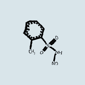 Cc1ccccc1S(=O)(=O)NN=O